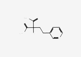 COC(=O)C(O)(CCc1cccnc1)C(=O)OC